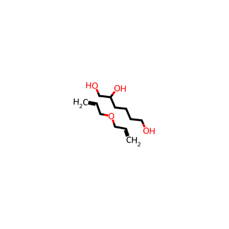 C=CCOCC=C.OCCCCC(O)CO